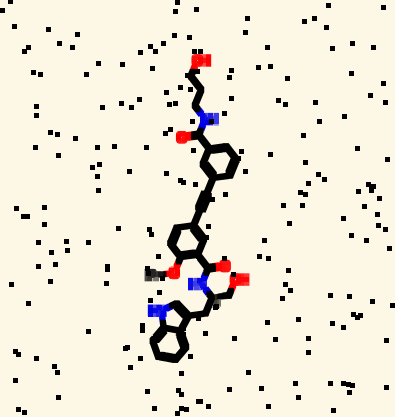 CC(C)Oc1ccc(C#Cc2cccc(C(=O)NCCCO)c2)cc1C(=O)N[C@@H](CO)Cc1c[nH]c2ccccc12